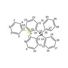 [c]1ccccc1Sc1ccccc1[Si](c1ccccc1)(c1ccccc1)c1ccccc1